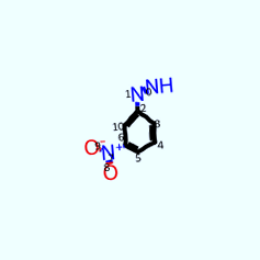 N=Nc1cccc([N+](=O)[O-])c1